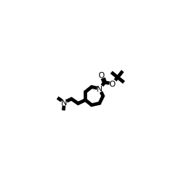 CN(C)CCC1CCCN(C(=O)OC(C)(C)C)CC1